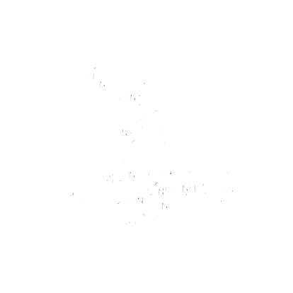 C=CCN1CC(=O)N2[C@@H](Cc3ccc(O)cc3)C(=O)N(Cc3cccc4c(C(=O)N(C)CCNC(C)(C)C)cn(C)c34)C[C@@H]2N1C(=O)NCc1ccccc1